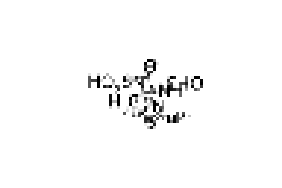 CCCc1nc([C@]2(C)[C@H](NC=O)C(=O)N2S(=O)(=O)O)cs1